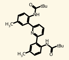 Cc1ccc(NC(=O)C(C)(C)C)c(-c2cccc(-c3cc(C)ccc3NC(=O)C(C)(C)C)n2)c1